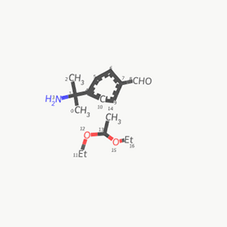 CC(C)(N)c1ccc(C=O)cc1.CCOC(C)OCC